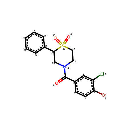 O=C(c1ccc(Br)c(Cl)c1)N1CCS(=O)(=O)C(c2ccccc2)C1